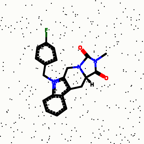 CN1C(=O)[C@@H]2Cc3c(n(Cc4ccc(F)cc4)c4ccccc34)CN2C1=O